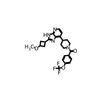 COC1CC(c2nc3c(C4CCN(C(=O)c5ccc(OC(F)(F)F)cc5)CC4)ccnc3[nH]2)C1